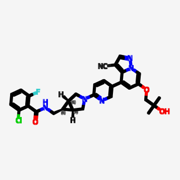 CC(C)(O)COc1cc(-c2ccc(N3C[C@@H]4[C@@H](CNC(=O)c5c(F)cccc5Cl)[C@@H]4C3)nc2)c2c(C#N)cnn2c1